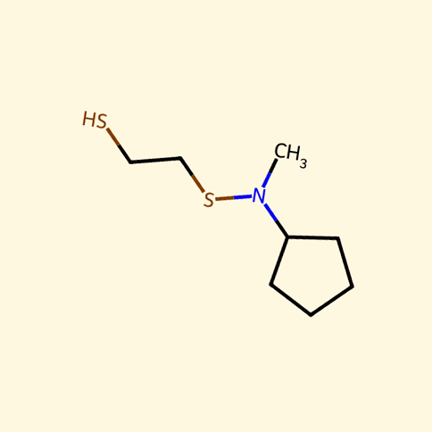 CN(SCCS)C1CCCC1